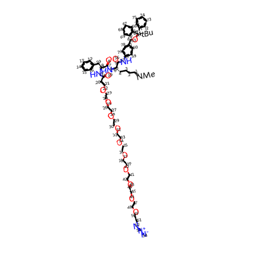 CNCCCC[C@H](NC(=O)[C@H](Cc1ccccc1)NC(=O)CCOCCOCCOCCOCCOCCOCCOCCOCCOCCOCCN=[N+]=[N-])C(=O)Nc1ccc(CO[Si](c2ccccc2)(c2ccccc2)C(C)(C)C)cc1